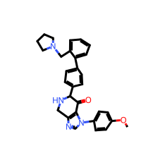 COc1ccc(-n2cnc3c2C(=O)C(c2ccc(-c4ccccc4CN4CCCC4)cc2)NC3)cc1